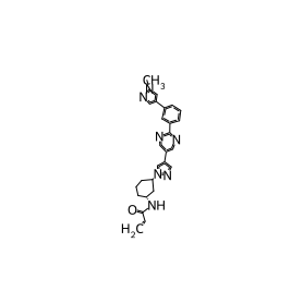 C=CC(=O)N[C@@H]1CCC[C@H](n2cc(-c3cnc(-c4cccc(-c5cnn(C)c5)c4)nc3)cn2)C1